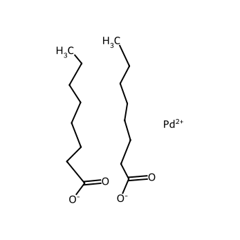 CCCCCCCC(=O)[O-].CCCCCCCC(=O)[O-].[Pd+2]